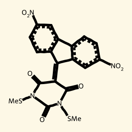 CSN1C(=O)C(=C2c3cc([N+](=O)[O-])ccc3-c3cc([N+](=O)[O-])ccc32)C(=O)N(SC)C1=O